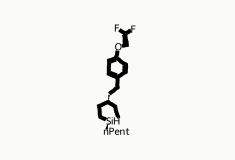 CCCCC[Si@H]1CC[C@H](CCc2ccc(OC=C(F)F)cc2)CC1